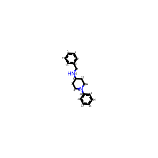 c1ccc(CNC2CCN(c3ccccc3)CC2)cc1